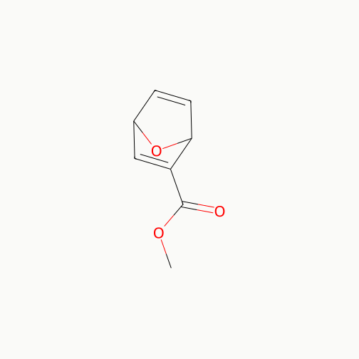 COC(=O)C1=CC2C=CC1O2